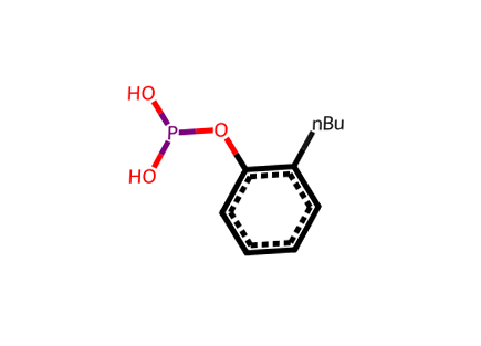 CCCCc1ccccc1OP(O)O